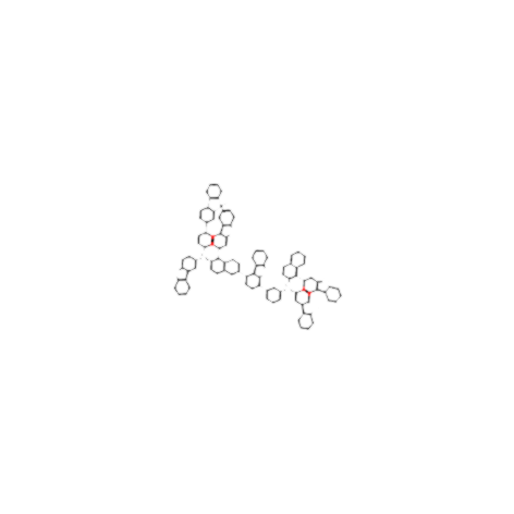 CC1(C)c2ccccc2-c2ccc(-c3ccc(N(c4ccc5sc6ccccc6c5c4)c4ccc5cc(-c6ccc(-c7cccc(N(c8ccc9oc%10ccccc%10c9c8)c8ccc9ccccc9c8-c8ccc9c(c8)sc8ccccc89)c7)c7oc8ccccc8c67)ccc5c4-c4ccc5c(c4)sc4ccccc45)cc3)cc21